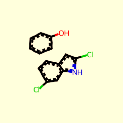 Clc1ccc2cc(Cl)[nH]c2c1.Oc1ccccc1